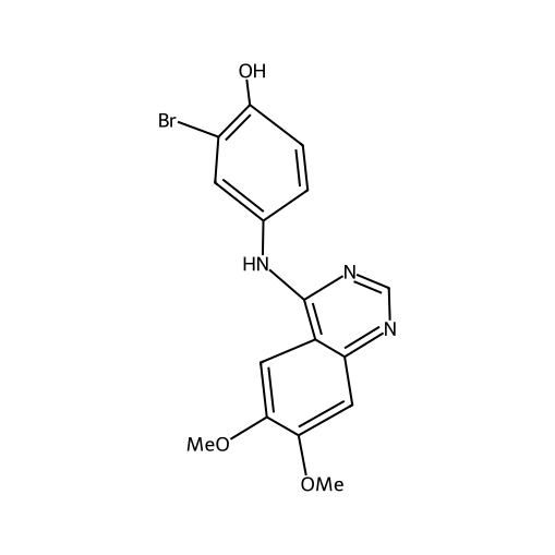 COc1cc2ncnc(Nc3ccc(O)c(Br)c3)c2cc1OC